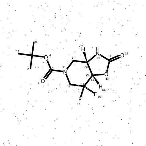 CC(C)(C)OC(=O)N1C[C@@H]2NC(=O)O[C@@H]2C(F)(F)C1